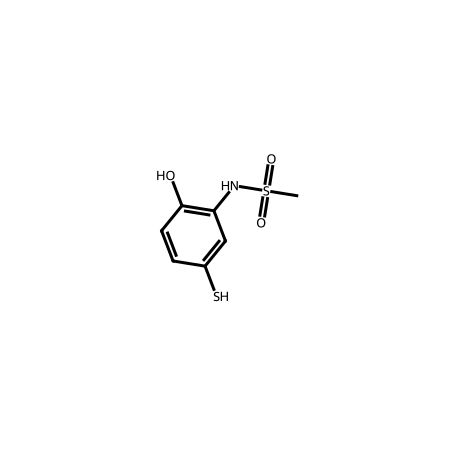 CS(=O)(=O)Nc1cc(S)ccc1O